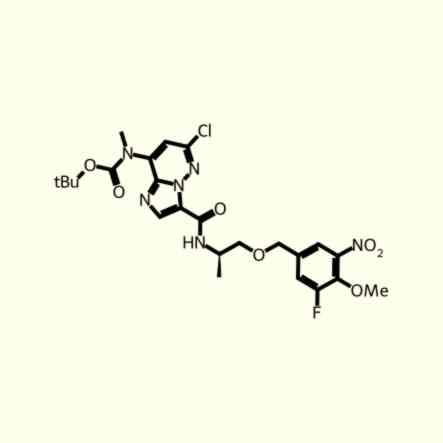 COc1c(F)cc(COC[C@@H](C)NC(=O)c2cnc3c(N(C)C(=O)OC(C)(C)C)cc(Cl)nn23)cc1[N+](=O)[O-]